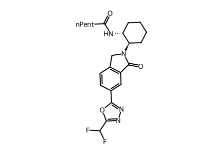 CCCCCC(=O)N[C@@H]1CCCC[C@H]1N1Cc2ccc(-c3nnc(C(F)F)o3)cc2C1=O